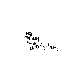 NCCCOP(=O)(O)OP(=O)(O)O